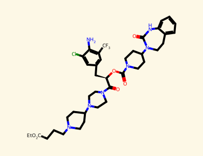 CCOC(=O)CCCN1CCC(N2CCN(C(=O)[C@@H](Cc3cc(Cl)c(N)c(C(F)(F)F)c3)OC(=O)N3CCC(N4CCc5ccccc5NC4=O)CC3)CC2)CC1